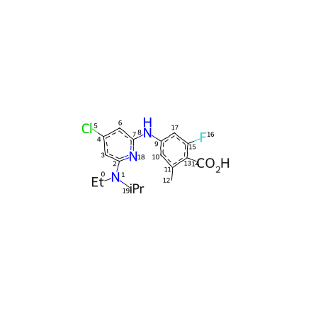 CCN(c1cc(Cl)cc(Nc2cc(C)c(C(=O)O)c(F)c2)n1)C(C)C